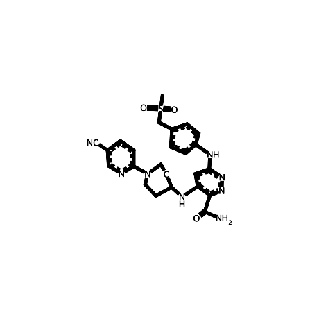 CS(=O)(=O)Cc1ccc(Nc2cc(NC3CCN(c4ccc(C#N)cn4)CC3)c(C(N)=O)nn2)cc1